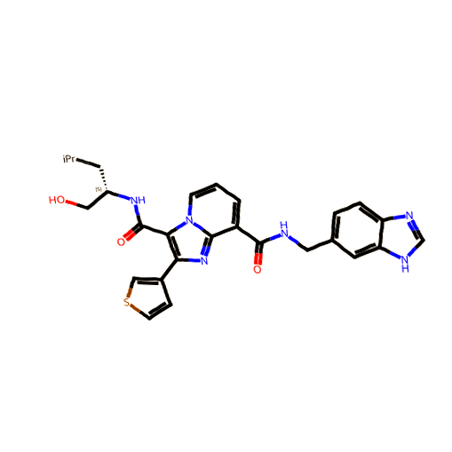 CC(C)C[C@@H](CO)NC(=O)c1c(-c2ccsc2)nc2c(C(=O)NCc3ccc4nc[nH]c4c3)cccn12